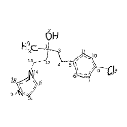 CC(O)(CCc1ccc(Cl)cc1)CCn1ccnc1